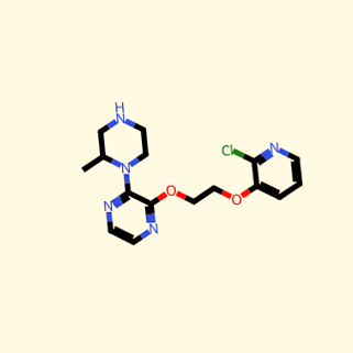 CC1CNCCN1c1nccnc1OCCOc1cccnc1Cl